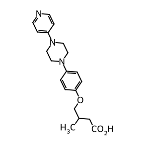 CC(COc1ccc(N2CCN(c3ccncc3)CC2)cc1)CC(=O)O